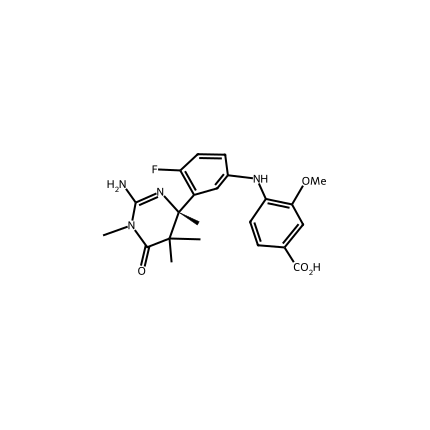 COc1cc(C(=O)O)ccc1Nc1ccc(F)c([C@@]2(C)N=C(N)N(C)C(=O)C2(C)C)c1